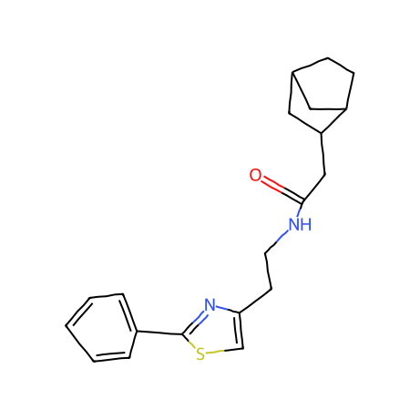 O=C(CC1CC2CCC1C2)NCCc1csc(-c2ccccc2)n1